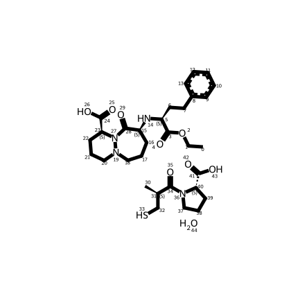 CCOC(=O)[C@H](CCc1ccccc1)N[C@H]1CCCN2CCC[C@@H](C(=O)O)N2C1=O.C[C@H](CS)C(=O)N1CCC[C@H]1C(=O)O.O